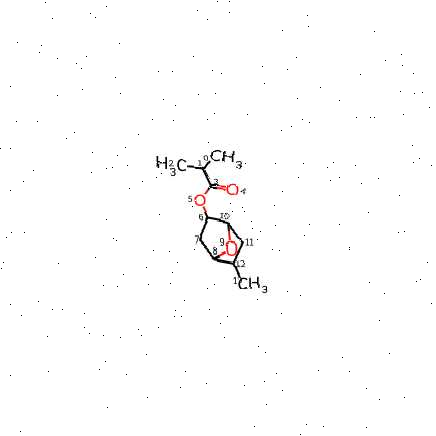 CC(C)C(=O)OC1CC2OC1CC2C